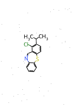 CC(C)c1ccc2c(c1Cl)C=Nc1ccccc1S2